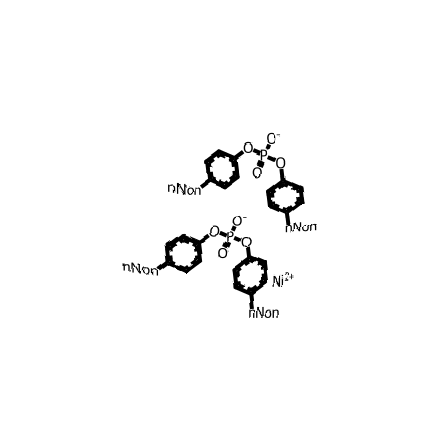 CCCCCCCCCc1ccc(OP(=O)([O-])Oc2ccc(CCCCCCCCC)cc2)cc1.CCCCCCCCCc1ccc(OP(=O)([O-])Oc2ccc(CCCCCCCCC)cc2)cc1.[Ni+2]